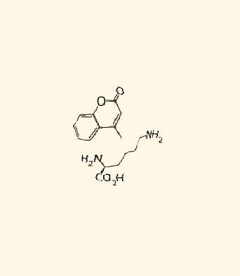 Cc1cc(=O)oc2ccccc12.NCCCC[C@H](N)C(=O)O